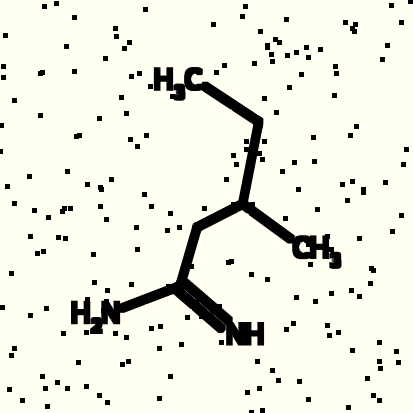 CCC(C)CC(=N)N